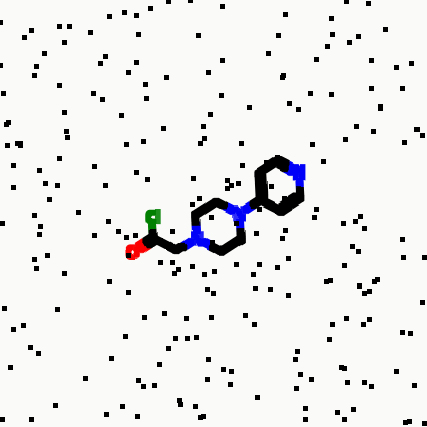 O=C(Cl)CN1CCN(c2ccncc2)CC1